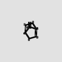 C1=C2CCC(C1)N2